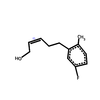 Cc1ccc(F)cc1CC/C=C\CO